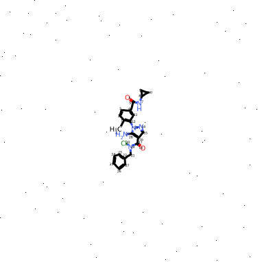 Cc1ccc(C(=O)NC2CC2)cc1-n1ncc(C(=O)N(Cl)Cc2ccccc2)c1N